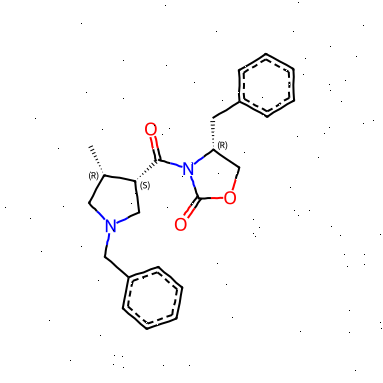 C[C@H]1CN(Cc2ccccc2)C[C@H]1C(=O)N1C(=O)OC[C@H]1Cc1ccccc1